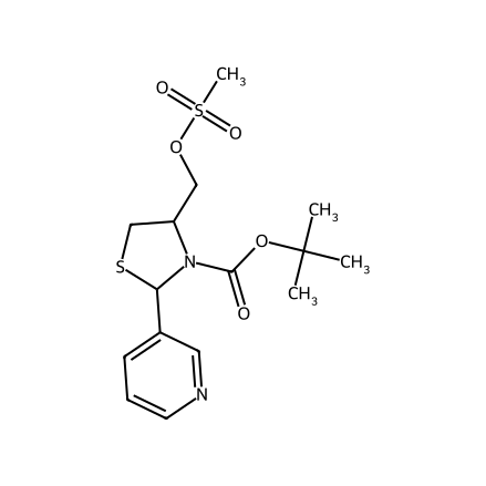 CC(C)(C)OC(=O)N1C(COS(C)(=O)=O)CSC1c1cccnc1